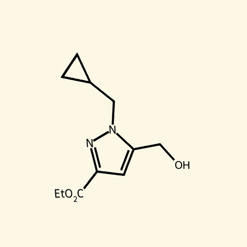 CCOC(=O)c1cc(CO)n(CC2CC2)n1